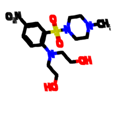 CN1CCN(S(=O)(=O)c2cc([N+](=O)[O-])ccc2N(CCO)CCO)CC1